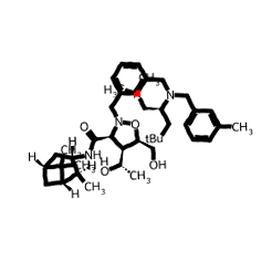 Cc1cccc(CN(Cc2cccc(CN3O[C@@H](CO)[C@@H]([C@H](C)O)[C@H]3C(=O)N[C@H]3C[C@H]4C[C@@H]([C@@H]3C)C4(C)C)c2)[C@H](CN(C)C)CC(C)(C)C)c1